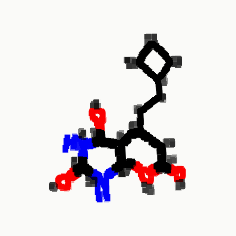 O=c1[nH]c(=O)c2c(CCC3CCC3)cc(=O)oc2[nH]1